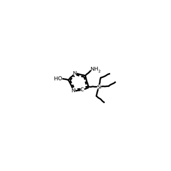 CC[Si](CC)(CC)c1cnc(O)nc1N